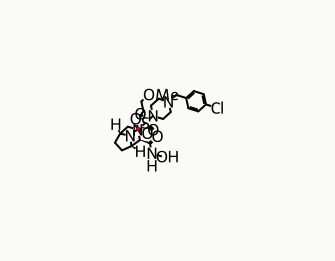 COCCOC(=O)N1[C@@H]2CC[C@H]1[C@H](C(=O)NO)N(S(=O)(=O)N1CCN(Cc3ccc(Cl)cc3)CC1)C2